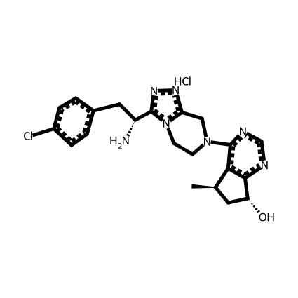 C[C@@H]1C[C@@H](O)c2ncnc(N3CCn4c(nnc4[C@H](N)Cc4ccc(Cl)cc4)C3)c21.Cl